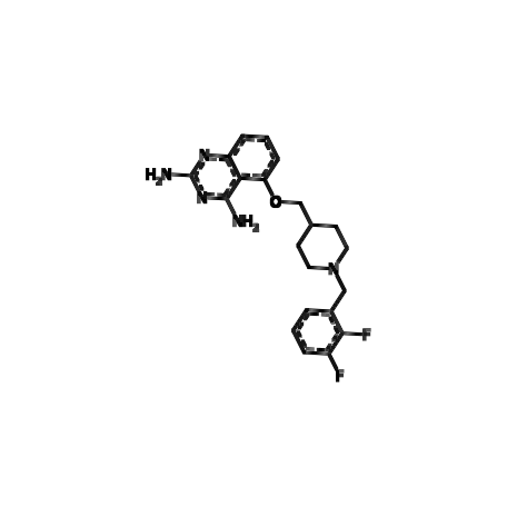 Nc1nc(N)c2c(OCC3CCN(Cc4cccc(F)c4F)CC3)cccc2n1